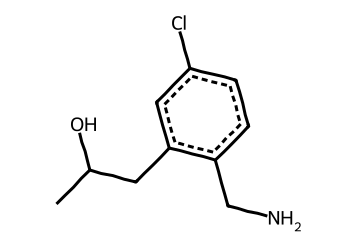 CC(O)Cc1cc(Cl)ccc1CN